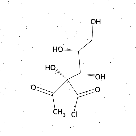 CC(=O)[C@](O)(C(=O)Cl)[C@@H](O)[C@H](O)CO